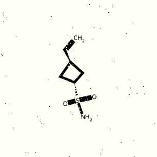 C=C[C@H]1C[C@H](S(N)(=O)=O)C1